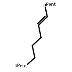 [CH2]CCCC/C=C/CCCCCCC[CH2]